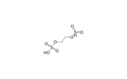 O=[SH](=O)OCCOS(=O)(=O)O